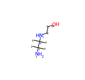 CC(C)(N)C(C)(C)NCCO